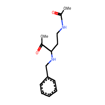 COC(=O)NCCC(NCc1ccccc1)C(=O)OC